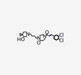 O=C(/C=C/c1ccc(Cl)c(Cl)c1)N1CCC(=O)N(CCCCN2CCC3(CC3)C(O)C2)CC1